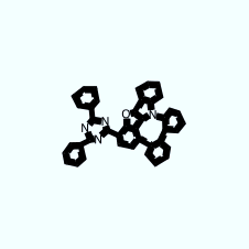 c1ccc(-c2nc(-c3ccccc3)nc(-c3ccc4c5ccccc5c5ccccc5n5c6ccccc6c6oc3c4c65)n2)cc1